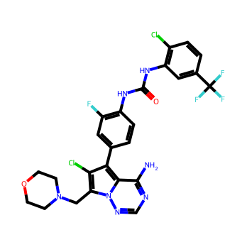 Nc1ncnn2c(CN3CCOCC3)c(Cl)c(-c3ccc(NC(=O)Nc4cc(C(F)(F)F)ccc4Cl)c(F)c3)c12